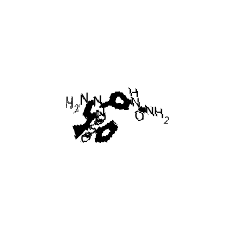 NC(=O)Nc1ccc(-c2nc(N)cc(C3(S(=O)(=O)C4CCCC4)CC3)n2)cc1